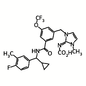 Cc1cc(C(NC(=O)c2cc(Cn3ccn(C)c3=NC(=O)O)cc(OC(F)(F)F)c2)C2CC2)ccc1F